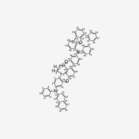 C=C1c2ccc(N(c3ccccc3)c3ccc4ccccc4c3)cc2Oc2ccc3c(c21)C(=C)Oc1cc(N(c2ccccc2)c2cccc4c2oc2c(-c5ccccc5)cccc24)ccc1-3